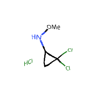 CONC1CC1(Cl)Cl.Cl